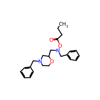 CCCC(=O)ON(Cc1ccccc1)CC1CN(Cc2ccccc2)CCO1